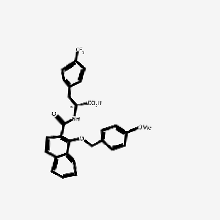 COc1ccc(COc2c(C(=O)N[C@@H](Cc3ccc(C(F)(F)F)cc3)C(=O)O)ccc3ccccc23)cc1